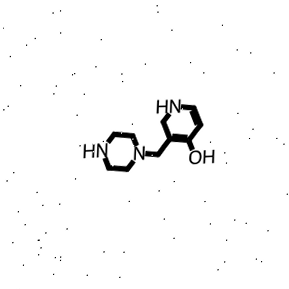 OC1=C(CN2CCNCC2)CNC=C1